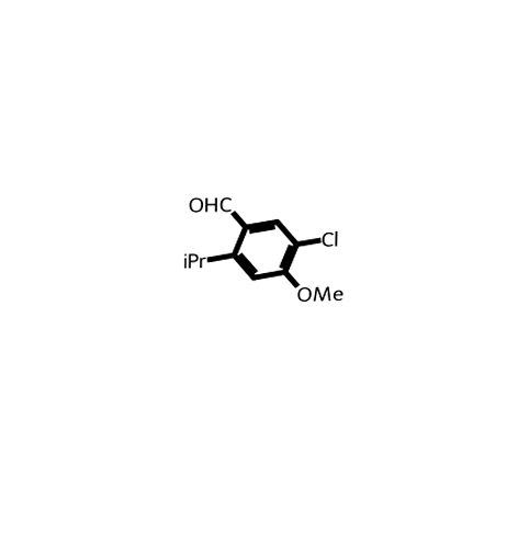 COc1cc(C(C)C)c(C=O)cc1Cl